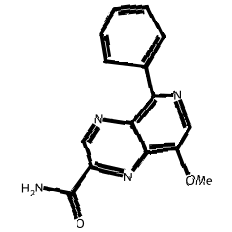 COc1cnc(-c2ccccc2)c2ncc(C(N)=O)nc12